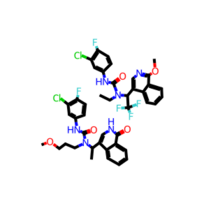 CCN(C(=O)Nc1ccc(F)c(Cl)c1)C(c1cnc(OC)c2ccccc12)C(F)(F)F.COCCCN(C(=O)Nc1ccc(F)c(Cl)c1)C(C)c1c[nH]c(=O)c2ccccc12